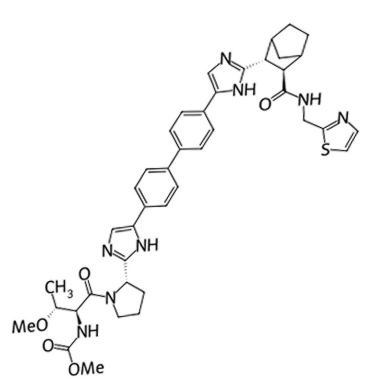 COC(=O)N[C@H](C(=O)N1CCC[C@H]1c1ncc(-c2ccc(-c3ccc(-c4cnc([C@@H]5C6CCC(C6)[C@H]5C(=O)NCc5nccs5)[nH]4)cc3)cc2)[nH]1)[C@@H](C)OC